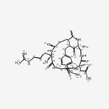 C=C1N[C@H]2CNC(=O)[C@H](CC(=O)O)NC(=O)CNC(=O)[C@H](CCCNC(=N)N)NC(=O)CC1N(Cc1ccc(CN)cc1)C2=O